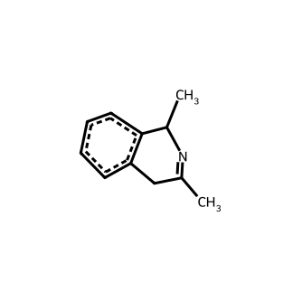 CC1=NC(C)c2ccccc2C1